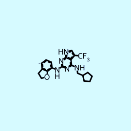 FC(F)(F)c1c[nH]c2nc(Nc3cc[c]c4c3OCC4)nc(NCC3CCCC3)c12